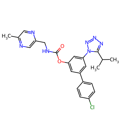 Cc1cnc(CNC(=O)Oc2cc(-c3ccc(Cl)cc3)cc(-n3nnnc3C(C)C)c2)cn1